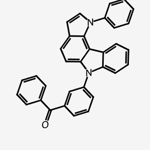 O=C(c1ccccc1)c1cccc(-n2c3ccccc3c3c4c(ccc32)ccn4-c2ccccc2)c1